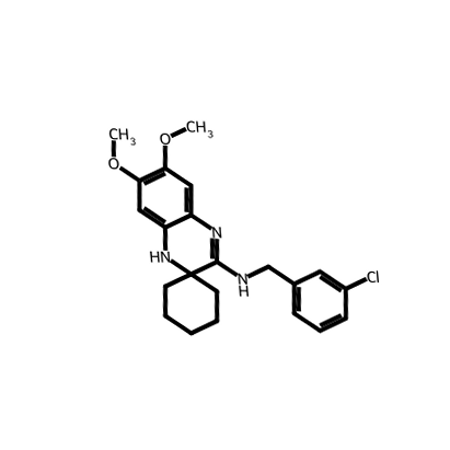 COc1cc2c(cc1OC)NC1(CCCCC1)C(NCc1cccc(Cl)c1)=N2